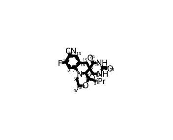 CC(C)C1O[C@H](C)CN2c3cc(F)c(C#N)cc3CC3(C(=O)NC(=O)NC3=O)C12